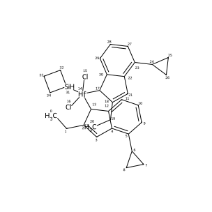 CCC1=Cc2c(C3CC3)cccc2[CH]1[Hf]([Cl])([Cl])([CH]1C(CC)=Cc2c(C3CC3)cccc21)[SiH]1CCC1